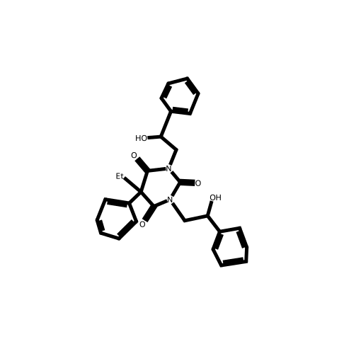 CCC1(c2ccccc2)C(=O)N(CC(O)c2ccccc2)C(=O)N(CC(O)c2ccccc2)C1=O